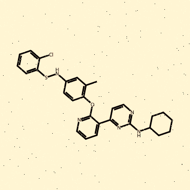 Cc1cc(NSc2ccccc2Cl)ccc1Oc1ncccc1-c1ccnc(NC2CCCCC2)n1